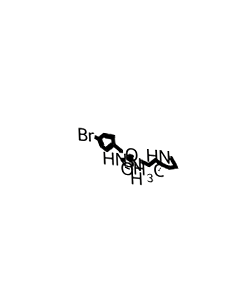 C[C@@]1(CCCNS(=O)(=O)NCc2ccc(Br)cc2)CCCN1